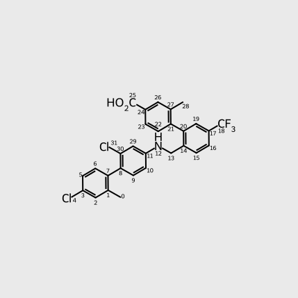 Cc1cc(Cl)ccc1-c1ccc(NCc2ccc(C(F)(F)F)cc2-c2ccc(C(=O)O)cc2C)cc1Cl